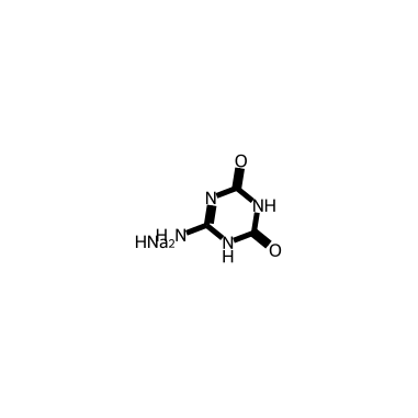 Nc1nc(=O)[nH]c(=O)[nH]1.[NaH]